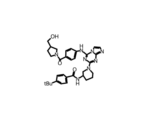 CC(C)(C)c1ccc(C(=O)NC2CCCN(c3nc(Nc4ccc(C(=O)N5CCC(CO)C5)cc4)n4ccnc4n3)C2)cc1